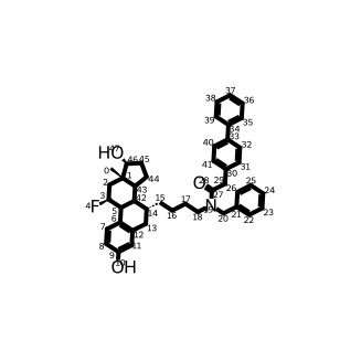 C[C@]12C[C@H](F)C3c4ccc(O)cc4C[C@@H](CCCCN(Cc4ccccc4)C(=O)Cc4ccc(-c5ccccc5)cc4)C3C1CC[C@@H]2O